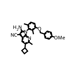 COc1ccc(COc2ccc(C)c(-n3c(N)c(C#N)c4cc(C5CCC5)c(C)nc43)c2C)cc1